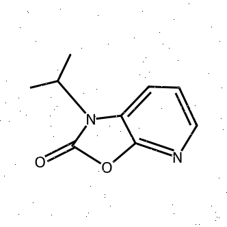 CC(C)n1c(=O)oc2ncccc21